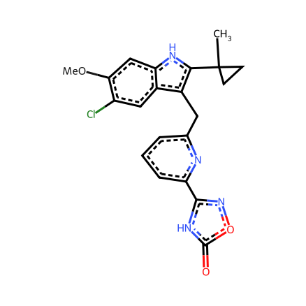 COc1cc2[nH]c(C3(C)CC3)c(Cc3cccc(-c4noc(=O)[nH]4)n3)c2cc1Cl